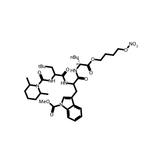 CCCC[C@@H](NC(=O)C(Cc1cn(C(=O)OC)c2ccccc12)NC(=O)C(CC(C)(C)C)NC(=O)N1C(C)CCCC1C)C(=O)OCCCCO[N+](=O)[O-]